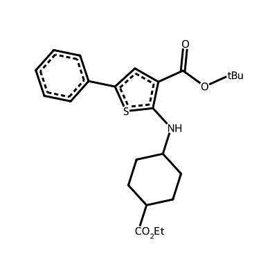 CCOC(=O)C1CCC(Nc2sc(-c3ccccc3)cc2C(=O)OC(C)(C)C)CC1